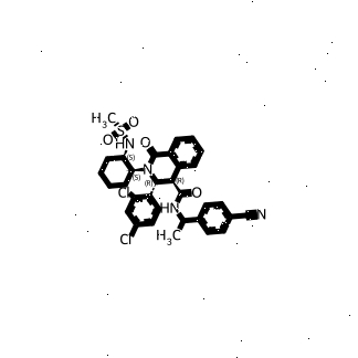 CC(NC(=O)[C@@H]1c2ccccc2C(=O)N([C@H]2CCCC[C@@H]2NS(C)(=O)=O)[C@H]1c1ccc(Cl)cc1Cl)c1ccc(C#N)cc1